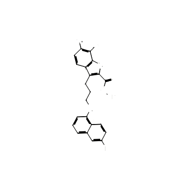 CC(C)(C)OC(=O)c1[nH]c2c(Br)c(Cl)ccc2c1CCCOc1cccc2cc(F)ccc12